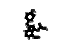 CNc1ncnc2c1c([Se]C(N)=O)cn2Cc1ccc(C)cc1